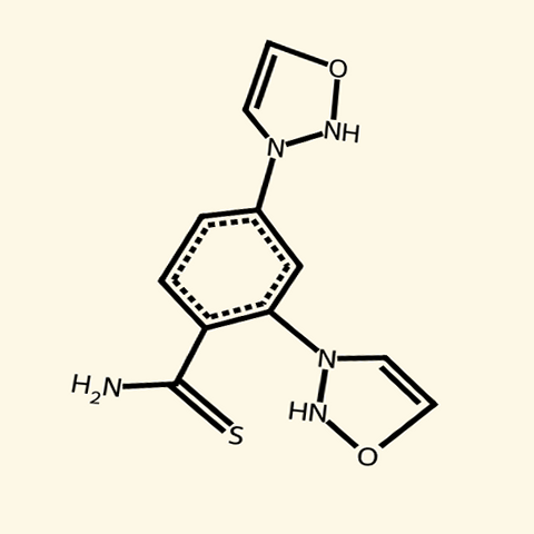 NC(=S)c1ccc(N2C=CON2)cc1N1C=CON1